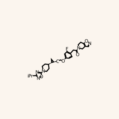 CC(C)c1noc(N2CCC([C@H]3C[C@H]3CCOc3ccc(CC(=O)N4CCc5oncc5C4)c(F)c3)CC2)n1